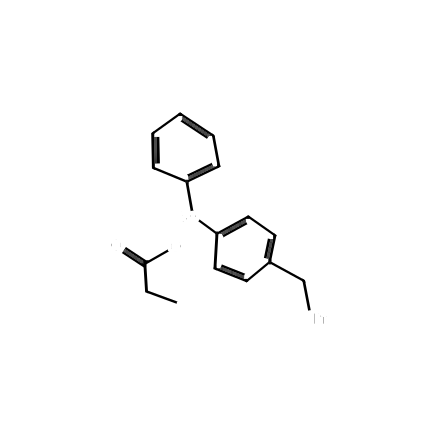 CC(C)Cc1ccc([Se]c2ccccc2)cc1.CCC(=O)O